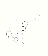 Cc1ccc(Br)cc1-n1cnc(C(N)=O)c1C(=O)Nc1nc2cc(OCC3CCNCC3)ccc2[nH]1.Cl